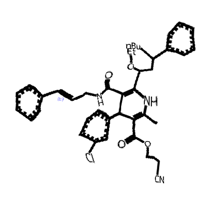 CCCCC(CC(OCC)C1=C(C(=O)NC/C=C/c2ccccc2)C(c2cccc(Cl)c2)C(C(=O)OCCC#N)=C(C)N1)c1ccccc1